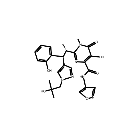 C[C@H](c1nc(C(=O)Nc2cnoc2)c(O)c(=O)n1C)[C@@H](c1cnn(CC(C)(C)O)c1)c1ccccc1C#N